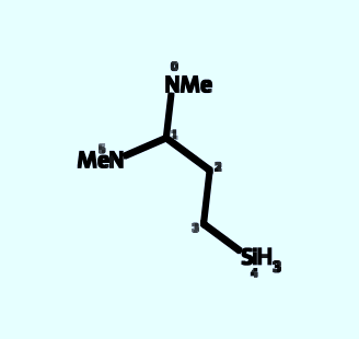 CNC(CC[SiH3])NC